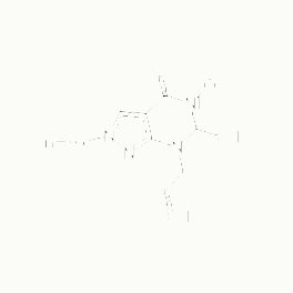 C=CCN1c2nn(CCCCCC)cc2C(=O)[NH+]([O-])C1C